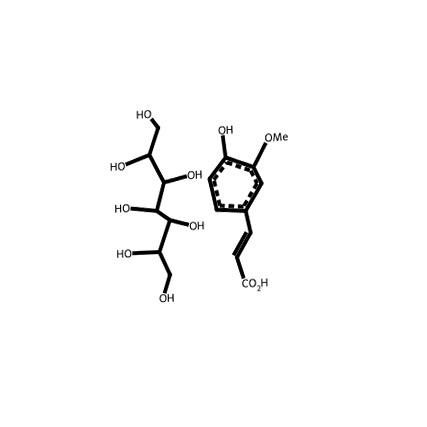 COc1cc(C=CC(=O)O)ccc1O.OCC(O)C(O)C(O)C(O)C(O)CO